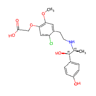 COc1cc(CCN[C@@H](C)[C@H](O)c2ccc(O)cc2)c(Cl)cc1OCC(=O)O